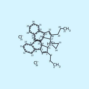 CCCC1=Cc2c(ccc3ccccc23)[CH]1[Hf+2]1([CH]2C(CCC)=Cc3c2ccc2ccccc32)[CH2][CH2]1.[Cl-].[Cl-]